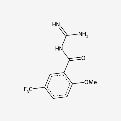 COc1ccc(C(F)(F)F)cc1C(=O)NC(=N)N